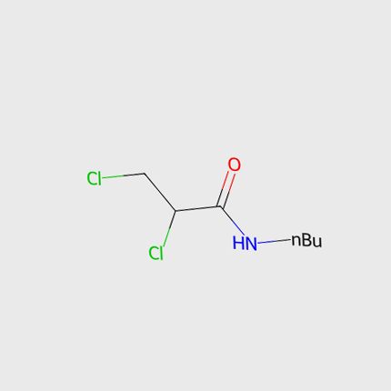 CCCCNC(=O)C(Cl)CCl